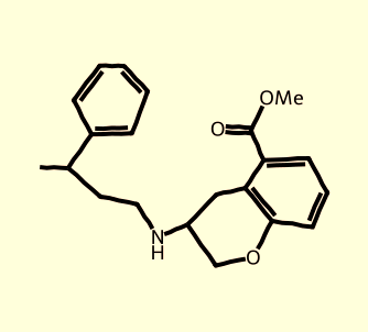 COC(=O)c1cccc2c1CC(NCCC(C)c1ccccc1)CO2